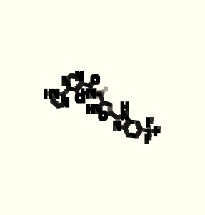 C[C@@H](NC(=O)c1ncnc(-c2ncc[nH]2)c1Cl)C1C=C(c2nc3ccc(C(F)(F)F)cc3[nH]2)ON1